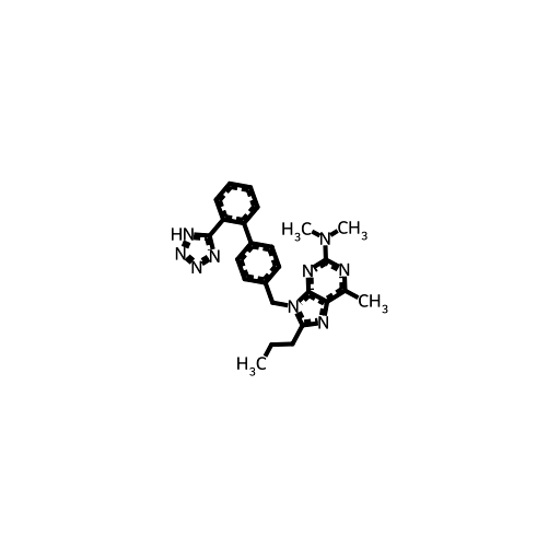 CCCc1nc2c(C)nc(N(C)C)nc2n1Cc1ccc(-c2ccccc2-c2nnn[nH]2)cc1